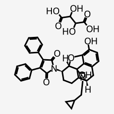 O=C(O)C(O)C(O)C(=O)O.O=C1C(c2ccccc2)=C(c2ccccc2)C(=O)N1[C@@H]1CCC2(O)[C@H]3Cc4ccc(O)c5c4[C@@]2(CCN3CC2CC2)[C@H]1O5